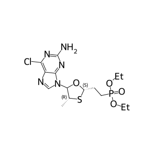 CCOP(=O)(CC[C@H]1OC(n2cnc3c(Cl)nc(N)nc32)[C@@H](C)S1)OCC